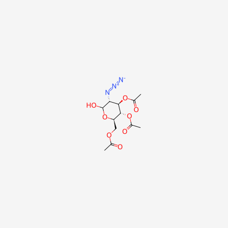 CC(=O)OC[C@H]1OC(O)[C@H](N=[N+]=[N-])[C@@H](OC(C)=O)[C@@H]1OC(C)=O